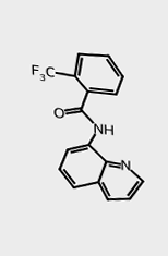 O=C(Nc1cccc2cccnc12)c1ccccc1C(F)(F)F